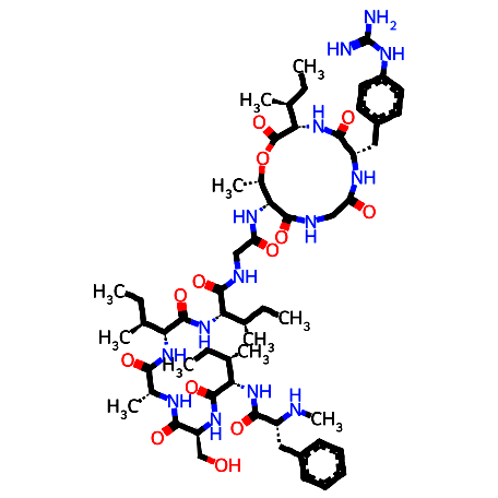 CC[C@H](C)[C@H](NC(=O)[C@@H](Cc1ccccc1)NC)C(=O)N[C@@H](CO)C(=O)N[C@H](C)C(=O)N[C@@H](C(=O)N[C@H](C(=O)NCC(=O)N[C@H]1C(=O)NCC(=O)N[C@@H](Cc2ccc(NC(=N)N)cc2)C(=O)N[C@@H]([C@@H](C)CC)C(=O)O[C@H]1C)[C@@H](C)CC)[C@@H](C)CC